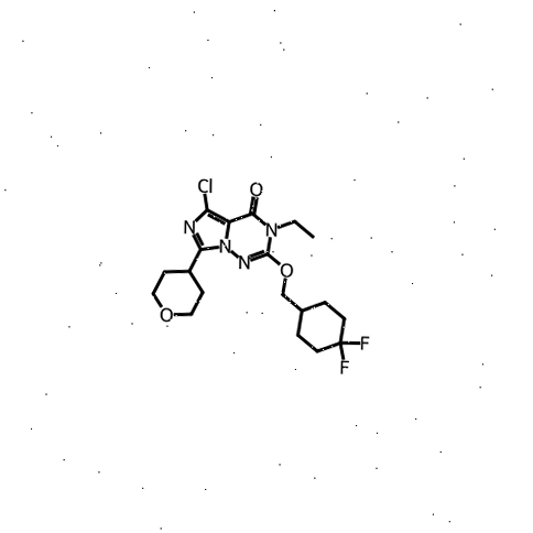 CCn1c(OCC2CCC(F)(F)CC2)nn2c(C3CCOCC3)nc(Cl)c2c1=O